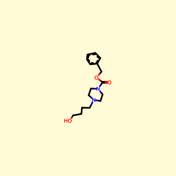 O=C(OCc1ccccc1)N1CCN(CCCCO)CC1